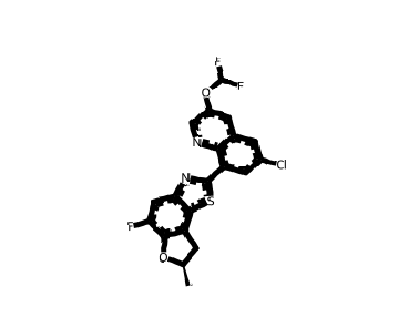 [CH2][C@@H]1Cc2c(c(F)cc3nc(-c4cc(Cl)cc5cc(OC(F)F)cnc45)sc23)O1